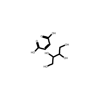 O=C(O)/C=C\C(=O)O.OCC(O)C(O)CO